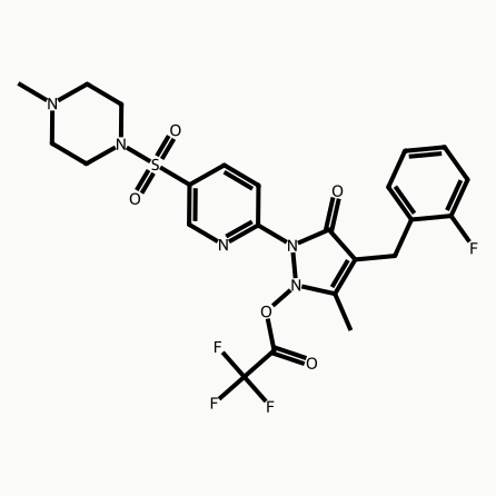 Cc1c(Cc2ccccc2F)c(=O)n(-c2ccc(S(=O)(=O)N3CCN(C)CC3)cn2)n1OC(=O)C(F)(F)F